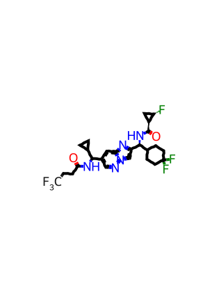 O=C(CCC(F)(F)F)NC(c1cnn2cc([C@@H](NC(=O)[C@H]3C[C@@H]3F)C3CCC(F)(F)CC3)nc2c1)C1CC1